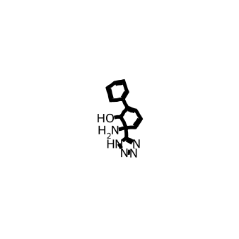 NC1(c2nnn[nH]2)C=CC=C(c2ccccc2)C1O